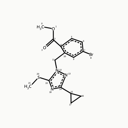 COC(=O)c1ccc(Br)cc1Cn1nc(C2CC2)nc1SC